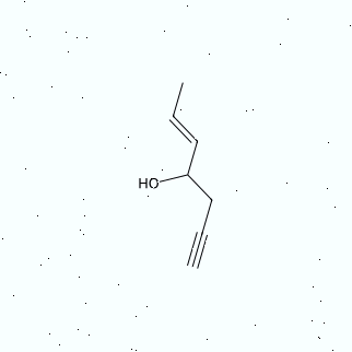 C#CCC(O)C=CC